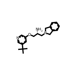 CC(C)(C)c1cncc(OC[C@H](N)CN2Cc3ccccc3C2)c1